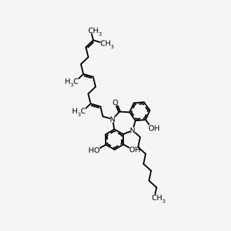 CCCCCCCCN1c2c(O)cccc2C(=O)N(C/C=C(\C)CC/C=C(\C)CCC=C(C)C)c2cc(O)cc(O)c21